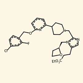 CCOC(=O)CCc1cnc(CN2CCC(c3cccc(OCc4ccc(Cl)cc4F)n3)CC2)n1C[C@@H]1CCO1